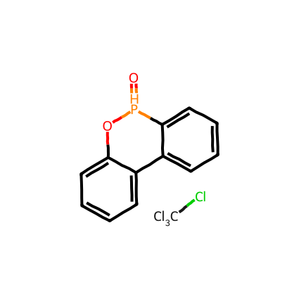 ClC(Cl)(Cl)Cl.O=[PH]1Oc2ccccc2-c2ccccc21